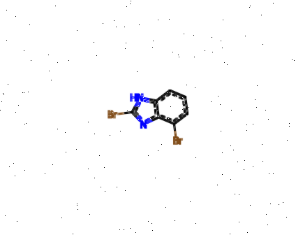 Brc1nc2c(Br)cccc2[nH]1